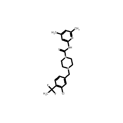 Cc1cc(C)nc(NC(=S)N2CCN(Cc3ccc(C(C)(F)F)c(Cl)c3)CC2)c1